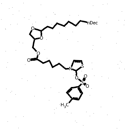 CCCCCCCCCCCCCCCCCC1OCC(COC(=O)CCCCCN2C=CSC2OS(=O)(=O)c2ccc(C)cc2)O1